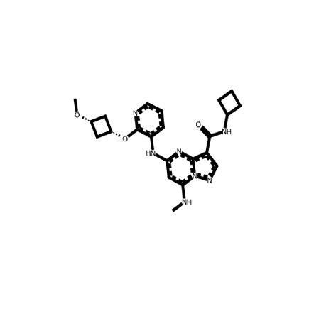 CNc1cc(Nc2cccnc2O[C@H]2C[C@@H](OC)C2)nc2c(C(=O)NC3CCC3)cnn12